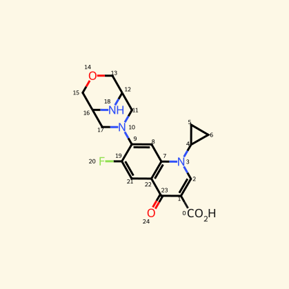 O=C(O)c1cn(C2CC2)c2cc(N3CC4COCC(C3)N4)c(F)cc2c1=O